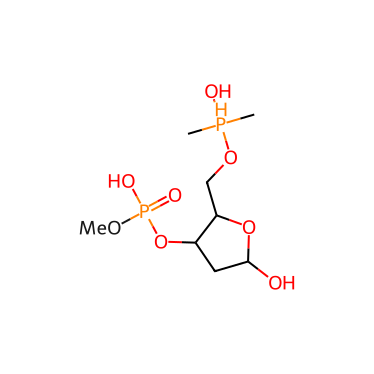 COP(=O)(O)OC1CC(O)OC1CO[PH](C)(C)O